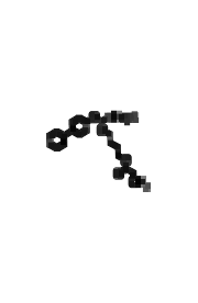 C=CC(=O)OCCCCOC(CCCCCCC)Oc1ccc(-c2ccccc2)cc1